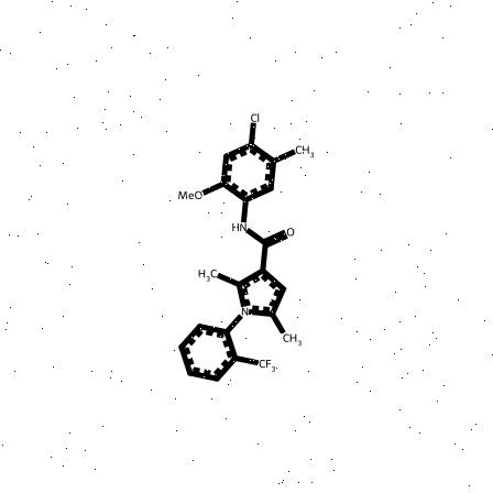 COc1cc(Cl)c(C)cc1NC(=O)c1cc(C)n(-c2ccccc2C(F)(F)F)c1C